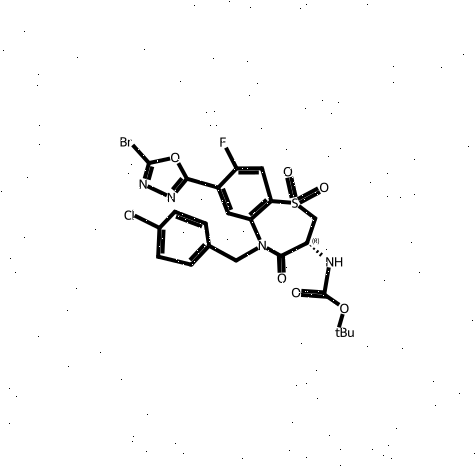 CC(C)(C)OC(=O)N[C@H]1CS(=O)(=O)c2cc(F)c(-c3nnc(Br)o3)cc2N(Cc2ccc(Cl)cc2)C1=O